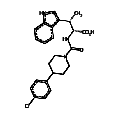 C[C@@H](c1c[nH]c2ccccc12)[C@@H](NC(=O)N1CCC(c2ccc(Cl)cc2)CC1)C(=O)O